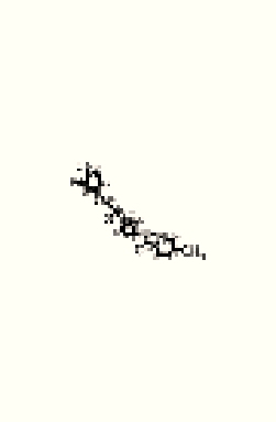 Cc1ccc(C(=O)NC23CC(C2)C(NC(=O)COc2ccc(Cl)c(F)c2)C3)nc1